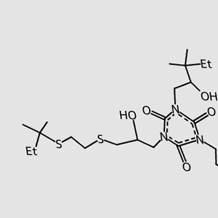 C=CCn1c(=O)n(CC(O)CSCCSC(C)(C)CC)c(=O)n(CC(O)C(C)(C)CC)c1=O